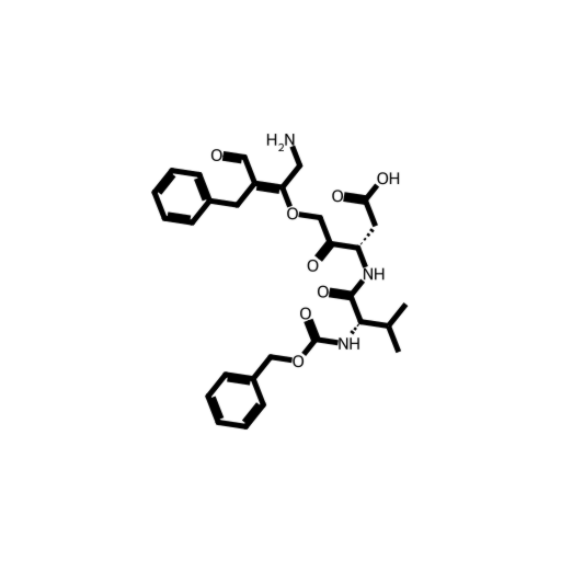 CC(C)[C@H](NC(=O)OCc1ccccc1)C(=O)N[C@@H](CC(=O)O)C(=O)CO/C(CN)=C(/C=O)Cc1ccccc1